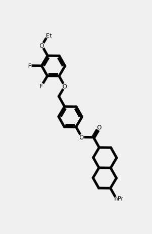 CCCC1CCC2CC(C(=O)Oc3ccc(COc4ccc(OCC)c(F)c4F)cc3)CCC2C1